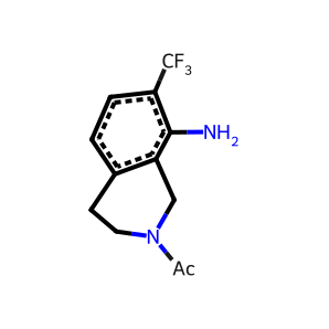 CC(=O)N1CCc2ccc(C(F)(F)F)c(N)c2C1